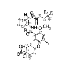 COc1cc(F)c(O[C@H]2CC[C@@](C)(C(=O)O)CC2)cc1C(=O)N[C@@H]1[C@H]2CC[C@H](C2)[C@@H]1C(=O)NCCC(F)(F)F